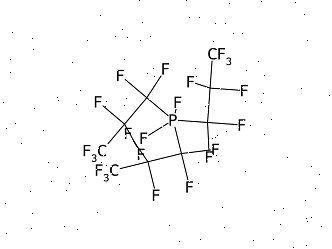 FC(F)(F)C(F)(F)C(F)(F)P(F)(F)(C(F)(F)C(F)(F)C(F)(F)F)C(F)(F)C(F)(F)C(F)(F)F